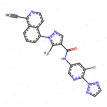 C#Cc1nccc2c(-n3ncc(C(=O)Nc4cnc(-n5nccn5)c(Cl)c4)c3C(F)(F)F)cccc12